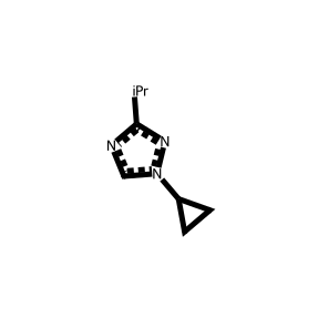 CC(C)c1ncn(C2CC2)n1